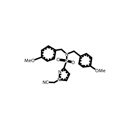 COc1ccc(CN(Cc2ccc(OC)cc2)S(=O)(=O)c2ccn(CC#N)n2)cc1